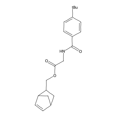 CC(C)(C)c1ccc(C(=O)NCC(=O)OCC2CC3C=CC2C3)cc1